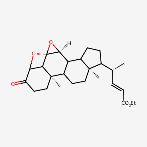 CCOC(=O)/C=C/[C@@H](C)C1CCC2C3C(CC[C@@]21C)[C@@]1(C)CCC(=O)C2O[C@@]4(O[C@@H]34)C21